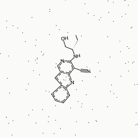 CC[C@@H](CO)Nc1ncc2cc3ccccc3nc2c1C#N